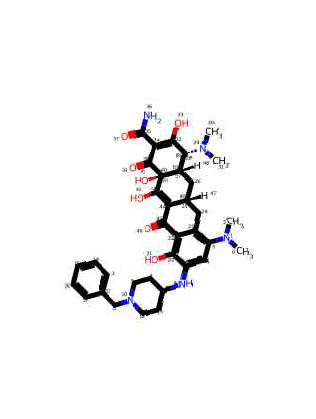 CN(C)c1cc(NC2CCN(Cc3ccccc3)CC2)c(O)c2c1C[C@H]1C[C@H]3[C@@H](N(C)C)C(O)=C(C(N)=O)C(=O)[C@@]3(O)C(O)=C1C2=O